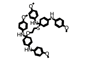 COc1ccc(NC2=CCC(Nc3ccc(OC)cc3)(OCCSC3(Nc4ccc(OC)cc4)C=CC(Nc4ccc(OC)cc4)=CC3)C=C2)cc1